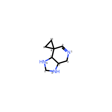 C1=NCC2NCNC2C12CC2